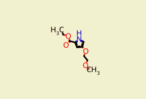 CCOC(=O)c1cc(OCCOC)c[nH]1